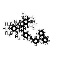 Bc1c(B)c(B)c(-c2nc(-c3ccc4oc(-c5cccc(-n6c7ccccc7c7ccccc76)c5)nc4c3)nc(-c3c(B)c(B)c(B)c(B)c3B)n2)c(B)c1B